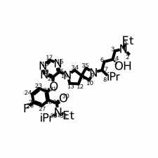 CCN(C)C[C@H](O)CC(C(C)C)N1CC2(CCN(c3ncnnc3Oc3ccc(F)cc3C(=O)N(CC)C(C)C)C2)C1